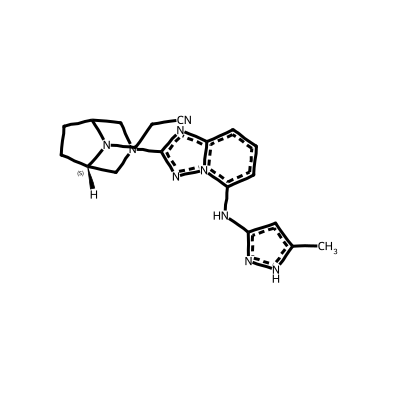 Cc1cc(Nc2cccc3nc(N4CC5CC[C@@H](C4)N5CCC#N)nn23)n[nH]1